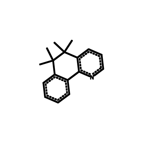 CC1(C)c2ccccc2-c2ncccc2C1(C)C